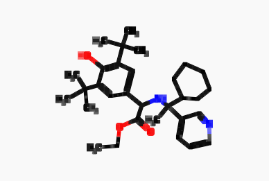 CCOC(=O)C(NC(C)(c1cccnc1)C1CCCCC1)c1cc(C(C)(C)C)c(O)c(C(C)(C)C)c1